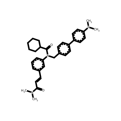 CN(C)C(=O)C=Cc1cccc(N(Cc2ccc(-c3ccc(N(C)C)cc3)cc2)C(=O)C2CCCCC2)c1